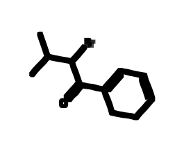 CC(C)C(Br)C(=O)C1=CC=CCC1